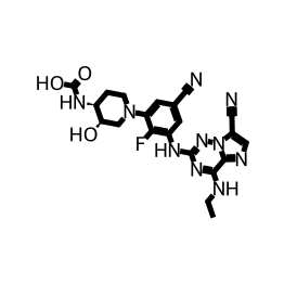 CCNc1nc(Nc2cc(C#N)cc(N3CC[C@@H](NC(=O)O)[C@@H](O)C3)c2F)nn2c(C#N)cnc12